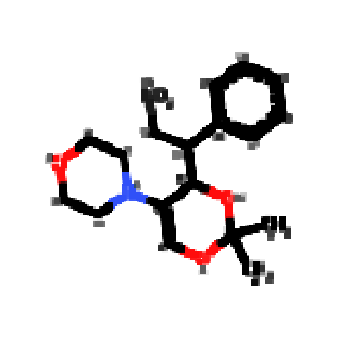 CC1(C)OC=C(N2CCOCC2)C(C(C[N+](=O)[O-])c2ccccc2)O1